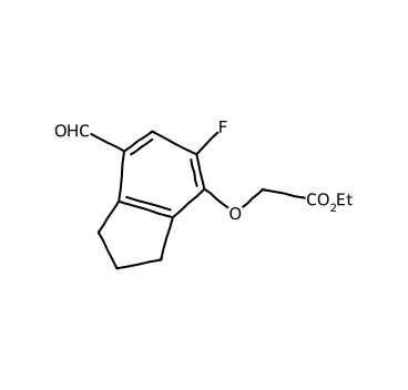 CCOC(=O)COc1c(F)cc(C=O)c2c1CCC2